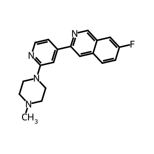 CN1CCN(c2cc(-c3cc4ccc(F)cc4cn3)ccn2)CC1